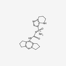 N[S@](=O)(=NC(=O)Nc1c2c(cc3c1CCC3)CCC2)c1cnn2c1NCCC2